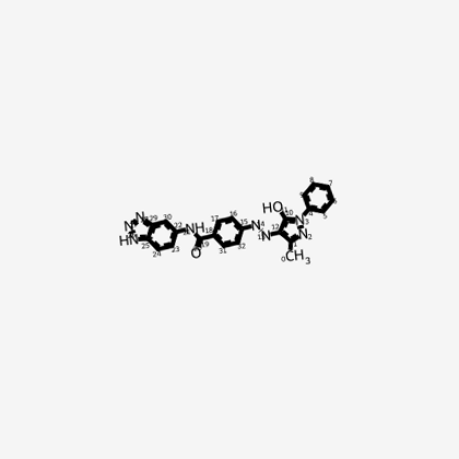 Cc1nn(-c2ccccc2)c(O)c1/N=N/c1ccc(C(=O)Nc2ccc3[nH]nnc3c2)cc1